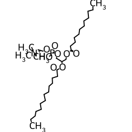 CCCCCCCCCCCCCC(=O)OC(COC(=O)CCCCCCCCCCC)COP(=O)(O)OCC[N+](C)(C)C